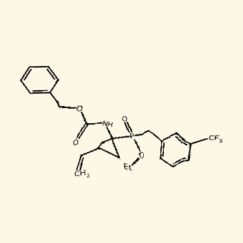 C=CC1CC1(NC(=O)OCc1ccccc1)P(=O)(Cc1cccc(C(F)(F)F)c1)OCC